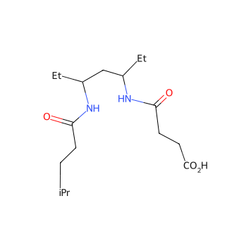 CCC(CC(CC)NC(=O)CCC(C)C)NC(=O)CCC(=O)O